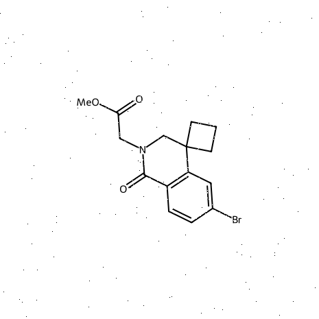 COC(=O)CN1CC2(CCC2)c2cc(Br)ccc2C1=O